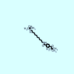 CC(C)(C)NCCCCCCCCCCNC(=O)c1ccc(C(=O)C(C)(C)C)cc1